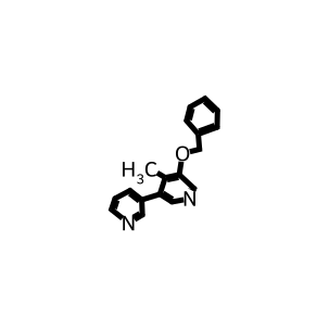 Cc1c(OCc2ccccc2)cncc1-c1cccnc1